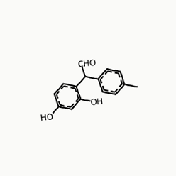 Cc1ccc(C(C=O)c2ccc(O)cc2O)cc1